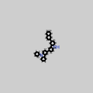 c1ccc(-n2c3ccccc3c3cc(-c4ccc5[nH]c6ccc(-c7ccc8ccccc8c7)cc6c5c4)ccc32)cc1